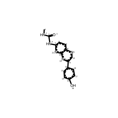 CNC(=O)Nc1ccc2ncc(-c3ccc(O)cc3)nc2n1